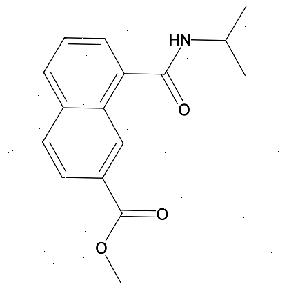 COC(=O)c1ccc2cccc(C(=O)NC(C)C)c2c1